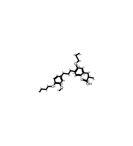 CCCCOc1ccc(CCCc2ccc(CC(C)C(=O)O)cc2OCCC)cc1OC